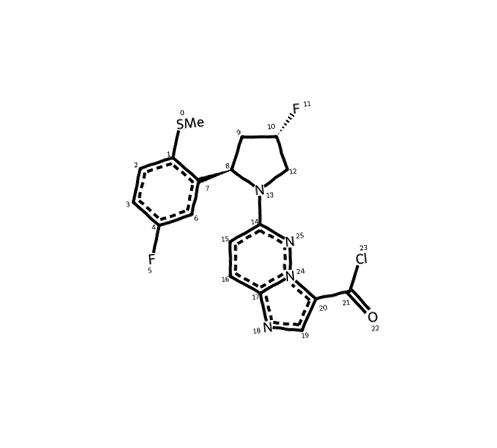 CSc1ccc(F)cc1[C@H]1C[C@H](F)CN1c1ccc2ncc(C(=O)Cl)n2n1